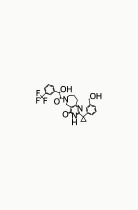 O=C([C@H](O)c1cccc(C(F)(F)F)c1)N1CCCc2nc(C3(c4cccc(CO)c4)CC3)[nH]c(=O)c2C1